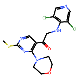 CSc1ncc(C(=O)CNc2c(Cl)cncc2Cl)c(N2CCOCC2)n1